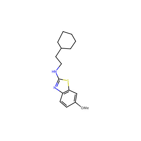 COc1ccc2nc(NCCC3CCCCC3)sc2c1